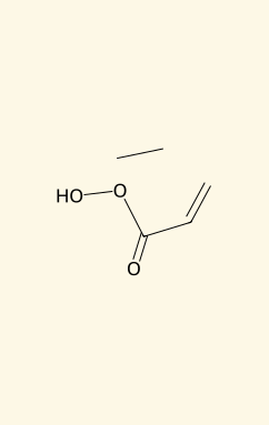 C=CC(=O)OO.CC